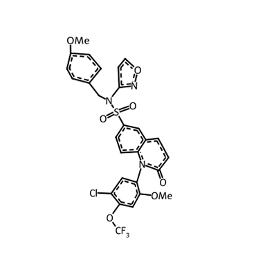 COc1ccc(CN(c2ccon2)S(=O)(=O)c2ccc3c(ccc(=O)n3-c3cc(Cl)c(OC(F)(F)F)cc3OC)c2)cc1